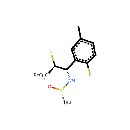 CCOC(=O)[C@@H](F)[C@@H](N[S@@+]([O-])C(C)(C)C)c1cc(C)ccc1F